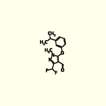 CC(C)c1cccc(Oc2c(C=O)c(C(F)F)nn2C)c1